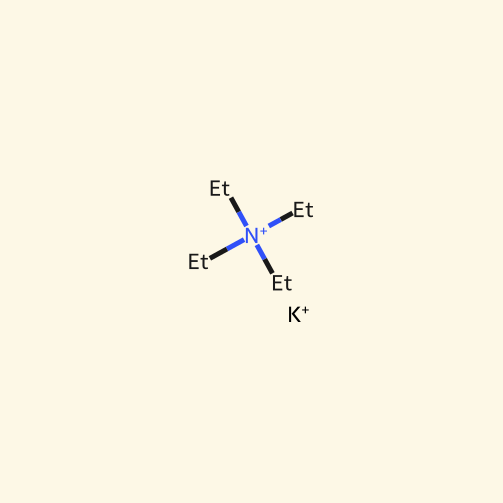 CC[N+](CC)(CC)CC.[K+]